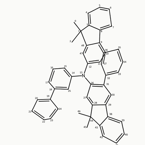 CC1(C)c2ccccc2-c2ccc(N(c3cccc(-c4ccccc4)c3)c3cc4c(cc3-c3ccccc3)-c3ccccc3C4(C)C)cc21